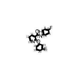 O=C(Nc1ccc(F)cc1)c1cccnc1Oc1cccc(F)c1